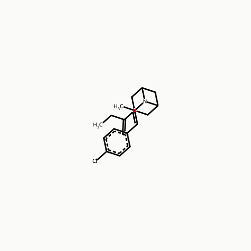 CCC(=O)N1CC2CC(C1)N2C(C)=Cc1ccc(Cl)cc1